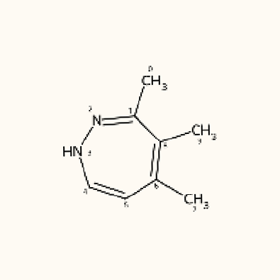 CC1=NNC=CC(C)=C1C